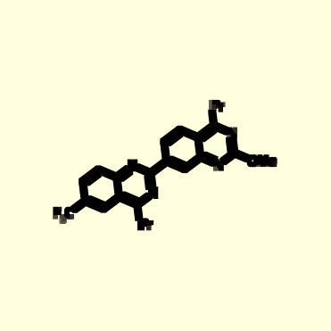 COc1nc(C(C)C)c2ccc(-c3nc(C(C)C)c4cc(C(F)(F)F)ccc4n3)cc2n1